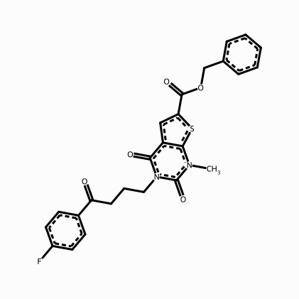 Cn1c(=O)n(CCCC(=O)c2ccc(F)cc2)c(=O)c2cc(C(=O)OCc3ccccc3)sc21